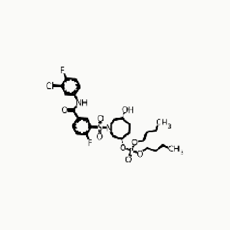 CCCCOP(=O)(OCCCC)O[C@H]1CC[C@@H](O)CN(S(=O)(=O)c2cc(C(=O)Nc3ccc(F)c(Cl)c3)ccc2F)C1